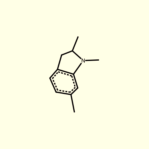 Cc1ccc2c(c1)N(C)C(C)C2